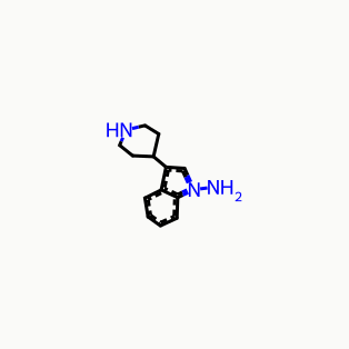 Nn1cc(C2CCNCC2)c2ccccc21